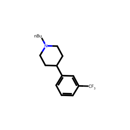 CCCCN1CCC(c2cccc(C(F)(F)F)c2)CC1